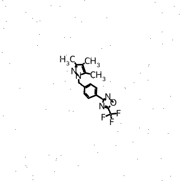 Cc1nn(Cc2ccc(-c3noc(C(F)(F)F)n3)cc2)c(C)c1C